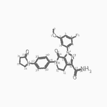 COc1cc(F)cc(-n2nc(C(N)=O)c3c2C(=O)N(c2ccc(N4CCCC4=O)cc2)CC3)c1